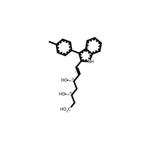 Cc1ccc(-c2c(/C=C/[C@@H](O)C[C@@H](O)CC(=O)O)[nH]c3ccccc23)cc1